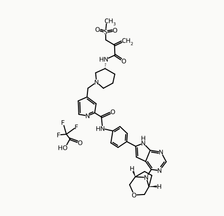 C=C(CS(C)(=O)=O)C(=O)N[C@@H]1CCCN(Cc2ccnc(C(=O)Nc3ccc(-c4cc5c(N6[C@@H]7CC[C@H]6COC7)ncnc5[nH]4)cc3)c2)C1.O=C(O)C(F)(F)F